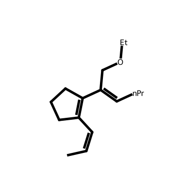 C/C=C\C1=C(C(=C/CCC)/COCC)CCC1